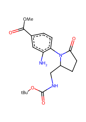 COC(=O)c1ccc(N2C(=O)CCC2CNC(=O)OC(C)(C)C)c(N)c1